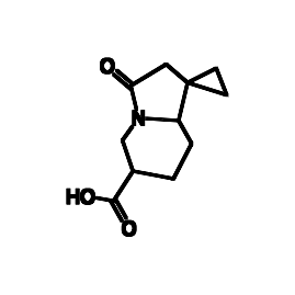 O=C(O)C1CCC2N(C1)C(=O)CC21CC1